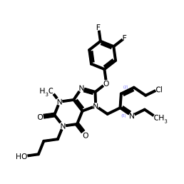 CC/N=C(\C=C/CCl)Cn1c(Oc2ccc(F)c(F)c2)nc2c1c(=O)n(CCCO)c(=O)n2C